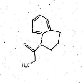 CCC(=O)N1[C]CCc2ccccc21